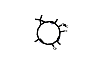 C/C1=C/CC(O)/C(C)=C\C(O)C(N=O)/C(C)=C\C2C(CC1)C2(C)C